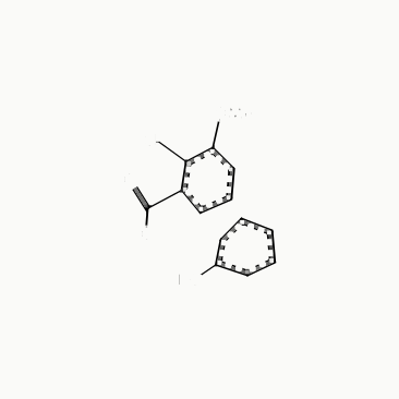 COc1cccc(C(=O)Cl)c1Cl.Cc1ccccc1